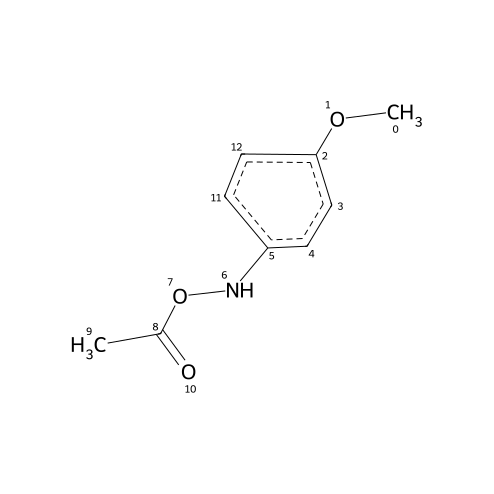 COc1ccc(NOC(C)=O)cc1